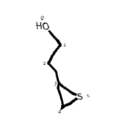 OCCC1CS1